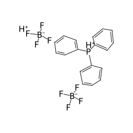 F[B-](F)(F)F.F[B-](F)(F)F.[H+].c1ccc([PH+](c2ccccc2)c2ccccc2)cc1